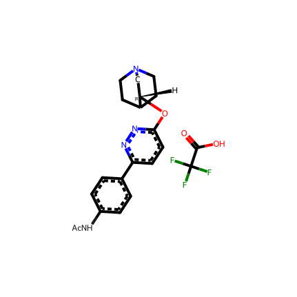 CC(=O)Nc1ccc(-c2ccc(O[C@H]3CN4CCC3CC4)nn2)cc1.O=C(O)C(F)(F)F